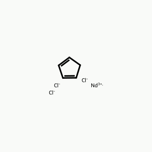 C1=CCC=C1.[Cl-].[Cl-].[Cl-].[Nd+3]